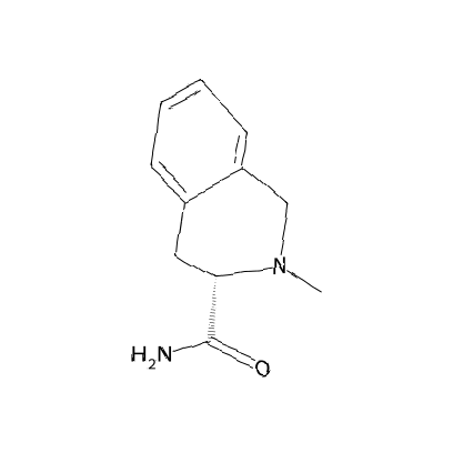 CN1Cc2ccccc2C[C@H]1C(N)=O